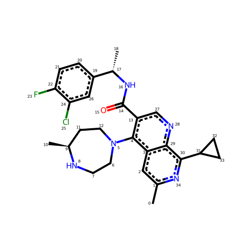 Cc1cc2c(N3CCN[C@@H](C)CC3)c(C(=O)N[C@@H](C)c3ccc(F)c(Cl)c3)cnc2c(C2CC2)n1